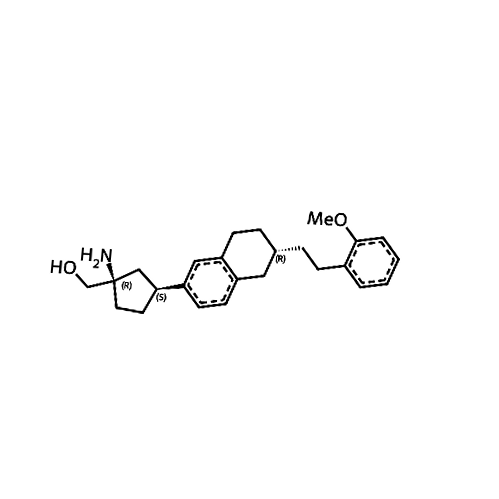 COc1ccccc1CC[C@H]1CCc2cc([C@H]3CC[C@](N)(CO)C3)ccc2C1